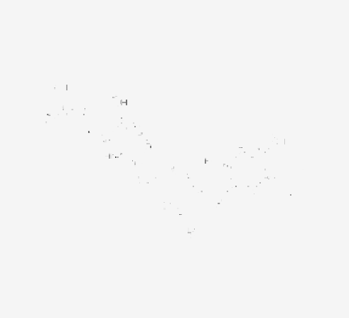 CC(C)c1cc(Oc2c(Br)cc(CC(=O)NC(CCC(=O)O)C(=O)O)cc2Br)ccc1O